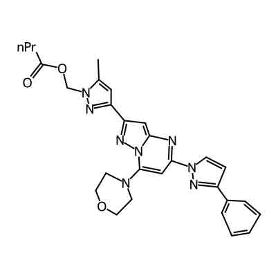 CCCC(=O)OCn1nc(-c2cc3nc(-n4ccc(-c5ccccc5)n4)cc(N4CCOCC4)n3n2)cc1C